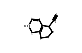 C#CC1CCCC2=C1C=COC2